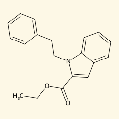 CCOC(=O)c1cc2ccccc2n1CCc1ccccc1